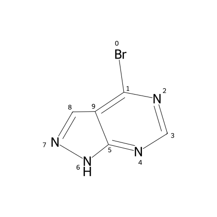 Brc1ncnc2[nH]ncc12